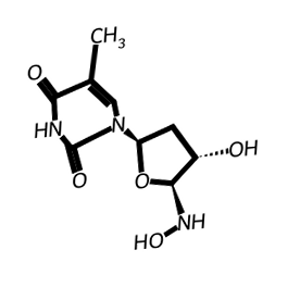 Cc1cn([C@H]2C[C@H](O)[C@@H](NO)O2)c(=O)[nH]c1=O